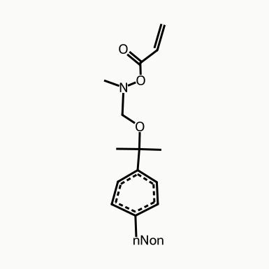 C=CC(=O)ON(C)COC(C)(C)c1ccc(CCCCCCCCC)cc1